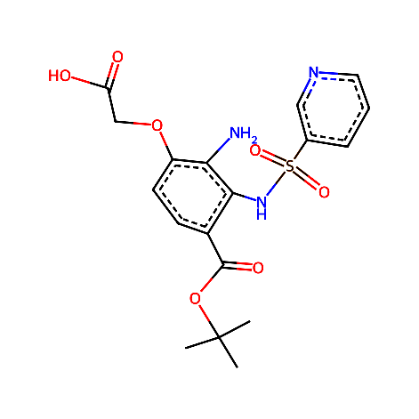 CC(C)(C)OC(=O)c1ccc(OCC(=O)O)c(N)c1NS(=O)(=O)c1cccnc1